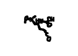 CON(C)CC(CC=C=O)NC(=O)O